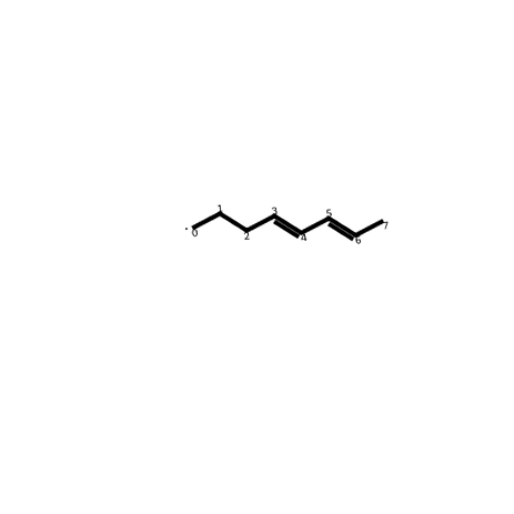 [CH2]CCC=CC=CC